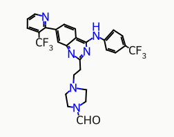 O=CN1CCN(CCc2nc(Nc3ccc(C(F)(F)F)cc3)c3ccc(-c4ncccc4C(F)(F)F)cc3n2)CC1